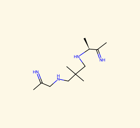 CC(=N)CNCC(C)(C)CN[C@@H](C)C(C)=N